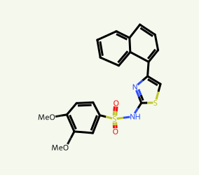 COc1ccc(S(=O)(=O)Nc2nc(-c3cccc4ccccc34)cs2)cc1OC